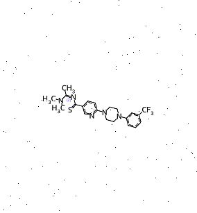 C/C(=N/C(=S)c1ccc(N2CCN(c3cccc(C(F)(F)F)c3)CC2)nc1)N(C)C